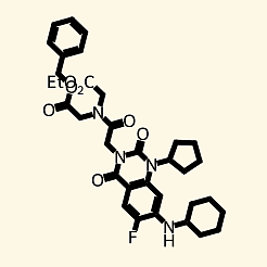 CCOC(=O)CN(CC(=O)OCc1ccccc1)C(=O)Cn1c(=O)c2cc(F)c(NC3CCCCC3)cc2n(C2CCCC2)c1=O